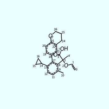 C=COC(C)(C(=O)O)c1c(C)ccc(C2CC2)c1-c1ccc2c(c1)CCCO2